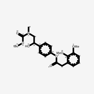 COc1cccc(CC(=O)Oc2ccc(C(O)CN(C)C(=O)OC(C)(C)C)cc2)c1OC